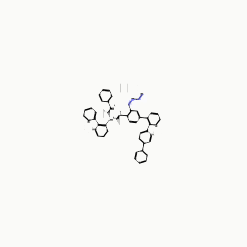 C/C=C\C=C/c1cc(-c2cccc3oc4cc(-c5ccccc5)ccc4c23)ccc1-c1nc(-c2ccccc2)nc(-c2cccc3oc4ccccc4c23)n1